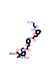 COC(=O)c1c(C)[nH]c2c(O)cc3c(c12)CCN3C(=O)c1cc2cc(NC(=O)c3cc4cccc(NC(=O)CCN)c4o3)ccc2o1